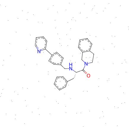 O=C([C@H](Cc1ccccc1)NCc1ccc(-c2ccccn2)cc1)N1CCc2ccccc2C1